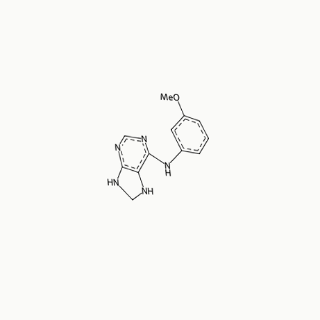 COc1cccc(Nc2ncnc3c2NCN3)c1